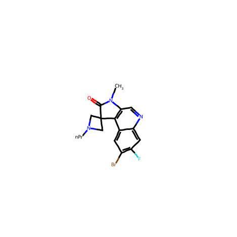 CCCN1CC2(C1)C(=O)N(C)c1cnc3cc(F)c(Br)cc3c12